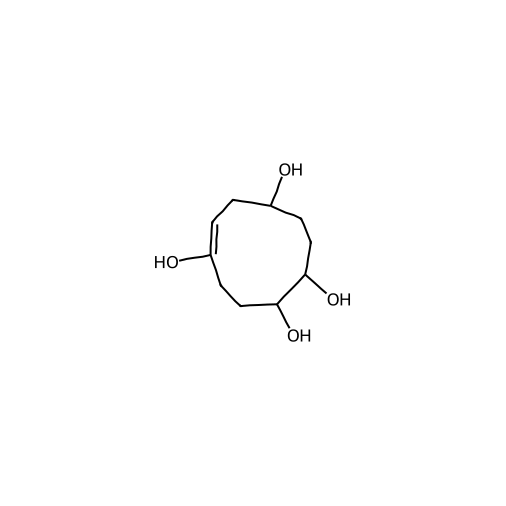 OC1=CCC(O)CCC(O)C(O)CC1